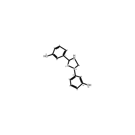 Oc1cccc(C2NCN(c3cccc(O)c3)S2)c1